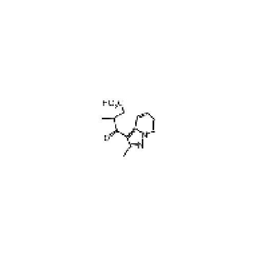 Cc1nn2ccccc2c1C(=O)C(C)CC(=O)O